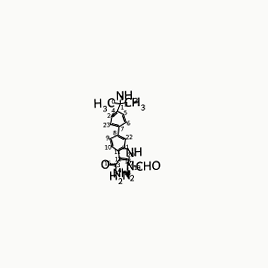 CC(C)(N)c1ccc(-c2ccc3c(C(N)=O)c(N(N)C=O)[nH]c3c2)cc1